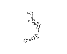 O=C(NCC#Cc1cc2ncnc(Nc3ccc(OCc4cccc(F)c4)c(Cl)c3)c2s1)c1ccc(OCc2ccccc2)cc1